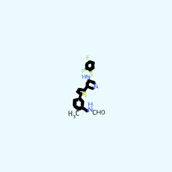 Cc1ccc(-c2ccc(-c3cncc(NSc4ccc(F)cc4F)c3)s2)cc1CNC=O